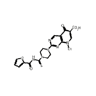 CCn1cc(C(=O)O)c(=O)c2cnc(N3CCN(C(=S)NC(=O)c4ccco4)CC3)nc21